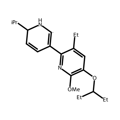 CCc1cc(OC(CC)CC)c(OC)nc1C1=[C]NC(C(C)C)C=C1